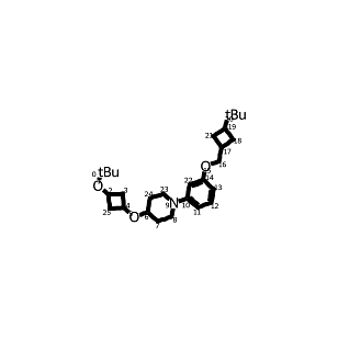 CC(C)(C)OC1CC(OC2CCN(c3cccc(OCC4CC(C(C)(C)C)C4)c3)CC2)C1